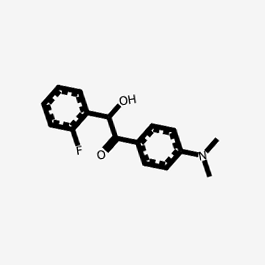 CN(C)c1ccc(C(=O)C(O)c2ccccc2F)cc1